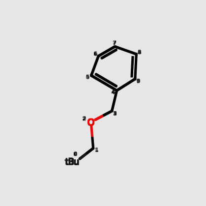 CC(C)(C)COCc1ccccc1